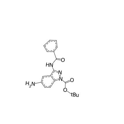 CC(C)(C)OC(=O)n1nc(NC(=O)c2ccccc2)c2cc(N)ccc21